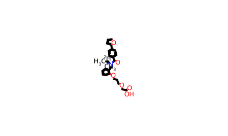 [2H]C(C)(C)N(Cc1ccccc1OCCCOCC(=O)O)C(=O)c1ccc(-c2ccco2)cc1